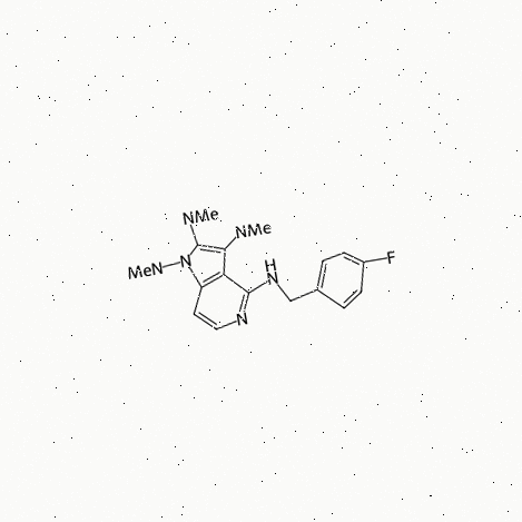 CNc1c(NC)n(NC)c2ccnc(NCc3ccc(F)cc3)c12